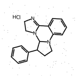 Cl.c1ccc(C2CCN3c4ccccc4C4=NCCN4C23)cc1